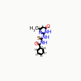 Cc1cc(=O)[nH]c(NC(=S)NC(=O)c2ccccc2)n1